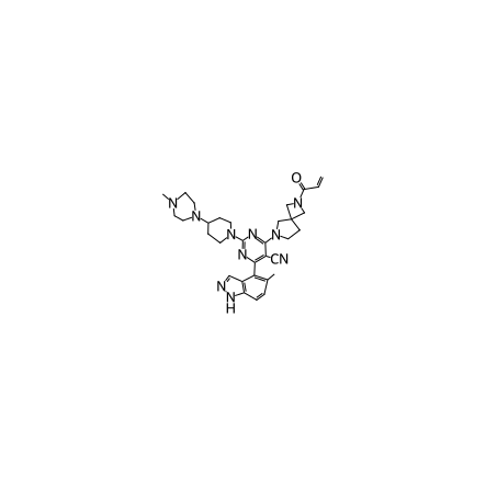 C=CC(=O)N1CC2(CCN(c3nc(N4CCC(N5CCN(C)CC5)CC4)nc(-c4c(C)ccc5[nH]ncc45)c3C#N)C2)C1